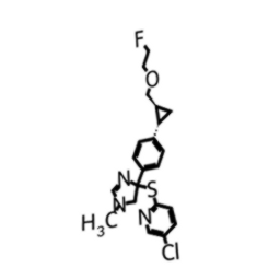 CN1C=NC(Sc2ccc(Cl)cn2)(c2ccc([C@H]3C[C@@H]3COCCF)cc2)C1